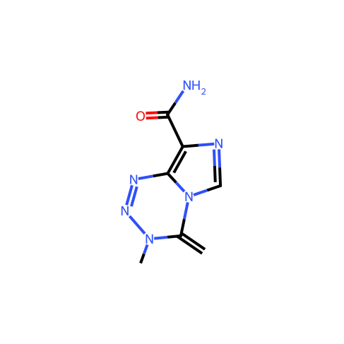 C=C1N(C)N=Nc2c(C(N)=O)ncn21